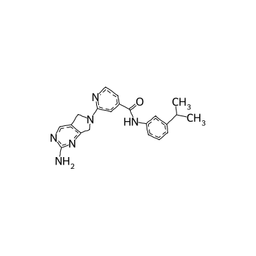 CC(C)c1cccc(NC(=O)c2ccnc(N3Cc4cnc(N)nc4C3)c2)c1